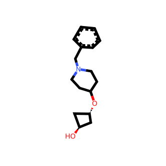 O[C@H]1C[C@H](OC2CCN(Cc3ccccc3)CC2)C1